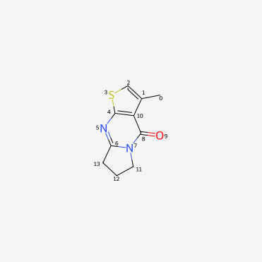 Cc1[c]sc2nc3n(c(=O)c12)CCC3